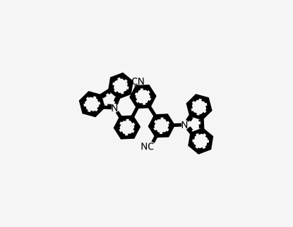 N#Cc1cc(-c2ccc(C#N)cc2-c2ccccc2-n2c3ccccc3c3ccccc32)cc(-n2c3ccccc3c3ccccc32)c1